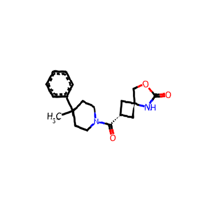 CC1(c2ccccc2)CCN(C(=O)[C@H]2C[C@]3(COC(=O)N3)C2)CC1